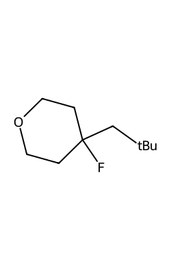 CC(C)(C)CC1(F)CCOCC1